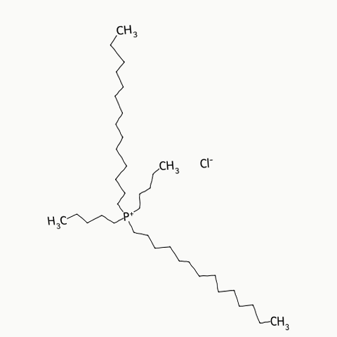 CCCCCCCCCCCCCC[P+](CCCCC)(CCCCC)CCCCCCCCCCCCCC.[Cl-]